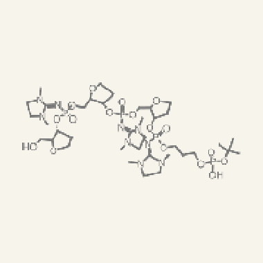 CN1CCN(C)C1=NP(=O)(OCC1OCC[C@H]1OP(=O)(N=C1N(C)CCN1C)OCC1OCC[C@H]1OP(=O)(N=C1N(C)CCN1C)OCCCOP(=O)(O)OC(C)(C)C)O[C@@H]1CCOC1CO